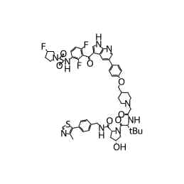 Cc1ncsc1-c1ccc(CNC(=O)[C@@H]2C[C@@H](O)CN2C(=O)[C@@H](NC(=O)CN2CCC(COc3ccc(-c4cnc5[nH]cc(C(=O)c6c(F)ccc(NS(=O)(=O)N7CC[C@@H](F)C7)c6F)c5c4)cc3)CC2)C(C)(C)C)cc1